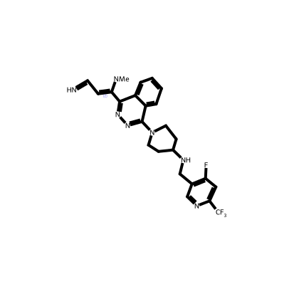 CN/C(=C\C=N)c1nnc(N2CCC(NCc3cnc(C(F)(F)F)cc3F)CC2)c2ccccc12